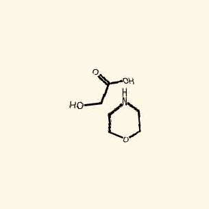 C1COCCN1.O=C(O)CO